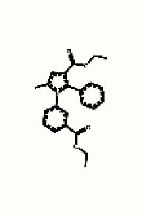 CCOC(=O)c1cccc(-n2c(C)cc(C(=O)OCC)c2-c2ccccc2)c1